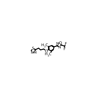 Cc1cc(-c2noc(C(F)F)n2)cc(C)c1OCCCc1nncs1